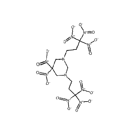 O=[N+]([O-])C1([N+](=O)[O-])CN(CCC([N+](=O)[O-])([N+](=O)[O-])[N+](=O)[O-])CN(CCC([N+](=O)[O-])([N+](=O)[O-])[N+](=O)[O-])C1